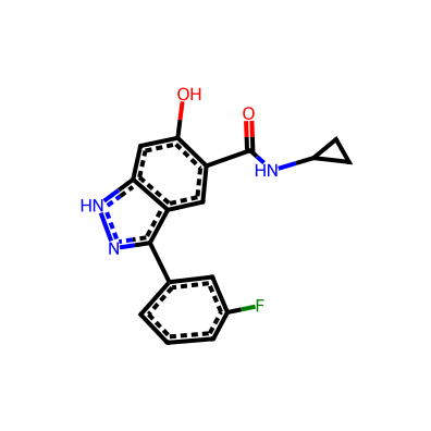 O=C(NC1CC1)c1cc2c(-c3cccc(F)c3)n[nH]c2cc1O